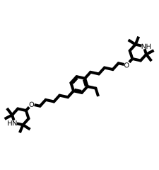 CCc1cc(CCCCCOC2CC(C)(C)NC(C)(C)C2)ccc1CCCCCOC1CC(C)(C)NC(C)(C)C1